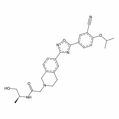 CC(C)Oc1ccc(-c2nc(-c3ccc4c(c3)CCN(CC(=O)N[C@@H](C)CO)C4)no2)cc1C#N